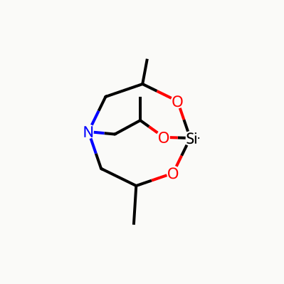 CC1CN2CC(C)O[Si](O1)OC(C)C2